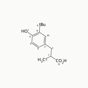 CC(Cc1ccc(O)c(C(C)(C)C)c1)C(=O)O